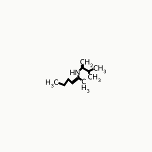 C=C(N/C(C)=C\CCC)C(C)C